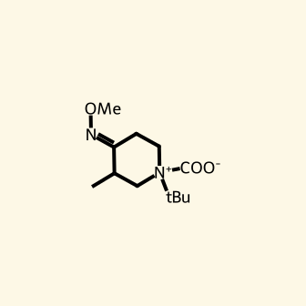 CO/N=C1\CC[N+](C(=O)[O-])(C(C)(C)C)CC1C